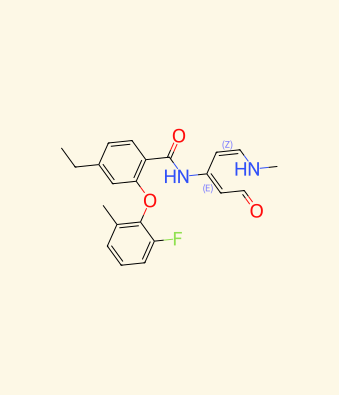 CCc1ccc(C(=O)NC(/C=C\NC)=C/C=O)c(Oc2c(C)cccc2F)c1